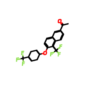 CC(=O)c1ccc2c(C(F)(F)F)c(OC3CCC(C(F)(F)F)CC3)ccc2c1